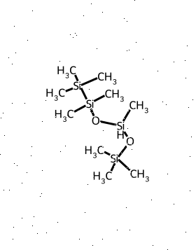 C[SiH](O[Si](C)(C)C)O[Si](C)(C)[Si](C)(C)C